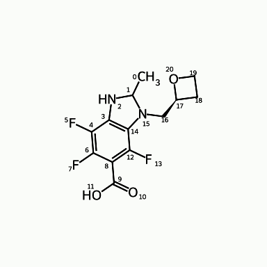 CC1Nc2c(F)c(F)c(C(=O)O)c(F)c2N1C[C@@H]1CCO1